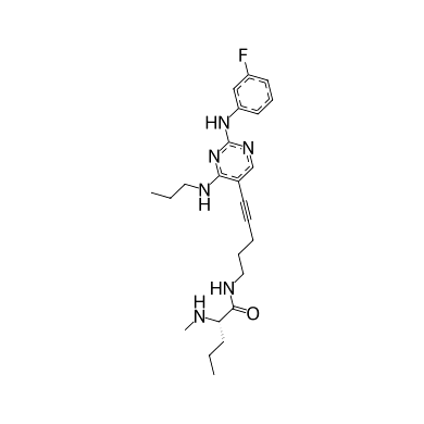 CCCNc1nc(Nc2cccc(F)c2)ncc1C#CCCCNC(=O)[C@H](CCC)NC